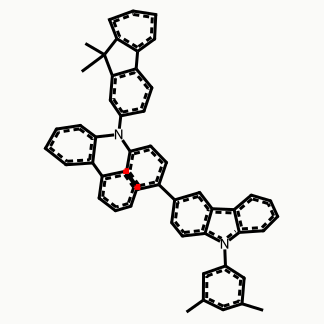 Cc1cc(C)cc(-n2c3ccccc3c3cc(-c4ccc(N(c5ccc6c(c5)C(C)(C)c5ccccc5-6)c5ccccc5-c5ccccc5)cc4)ccc32)c1